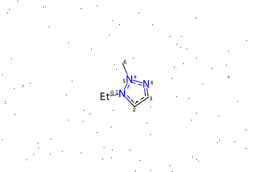 CCn1ccn[n+]1C